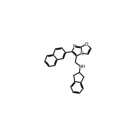 c1ccc2c(c1)CC(NCc1c(-c3ccc4ccccc4c3)nc3occn13)C2